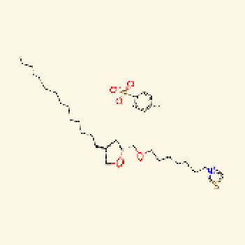 CCCCCCCCCCCCCC[C@@H]1CO[C@@H](COCCCCCCC[n+]2ccsc2)C1.Cc1ccc(S(=O)(=O)[O-])cc1